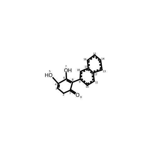 O=C1CC=C(O)C(O)=C1c1ccc2ccccc2c1